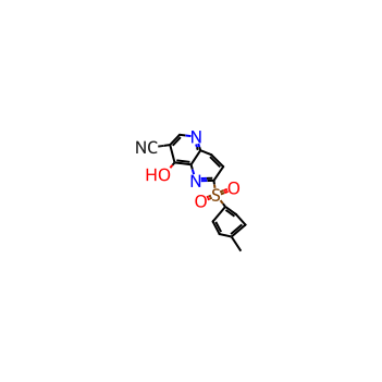 Cc1ccc(S(=O)(=O)c2ccc3ncc(C#N)c(O)c3n2)cc1